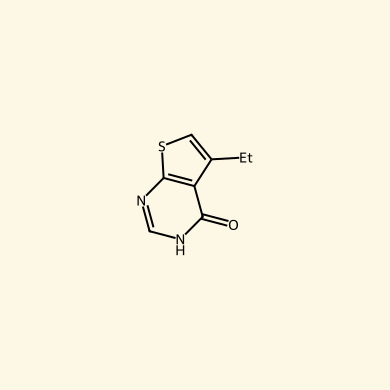 CCc1csc2nc[nH]c(=O)c12